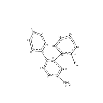 Nc1cnc(-c2ccncc2)c(-c2ccccc2F)n1